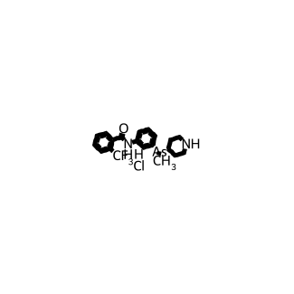 C[As](c1cccc(NC(=O)c2ccccc2C(F)(F)F)c1)C1CCNCC1.Cl